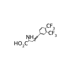 N[C@@H](CC#Cc1ccc(C(F)(F)F)c(C(F)(F)F)c1)C(=O)O